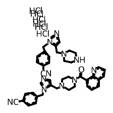 Cl.Cl.Cl.Cl.Cl.Cl.N#Cc1ccc(Cn2cncc2CN2CCN(C(=O)c3cccc4cccnc34)CC2)cc1.N#Cc1ccc(Cn2cncc2CN2CCNCC2)cc1